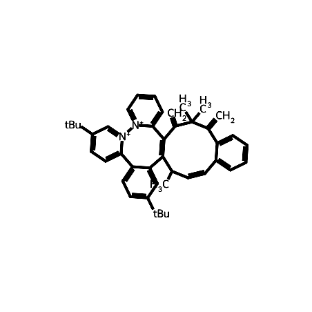 C=C1/C2=C(/c3cc(C(C)(C)C)ccc3-c3ccc(C(C)(C)C)c[n+]3-[n+]3ccccc32)C(C)C=Cc2ccccc2C(=C)C1(C)C